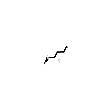 CCC[CH2][Sn]=[O].[H-]